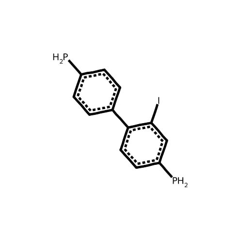 Pc1ccc(-c2ccc(P)cc2I)cc1